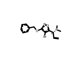 C=C[C@H](c1onc(OCc2ccccc2)c1Br)N(C)C